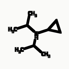 CC(C)[SiH](C(C)C)C1CC1